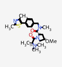 CO[C@@H]1C[C@@H](C(=O)N(C)Cc2ccc(-c3sc(C)nc3C)cc2)N(C(=O)[C@H](C)N(C)C)C1